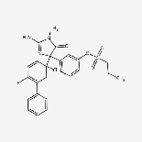 CCCS(=O)(=O)Oc1cccc(C2(C3(Cl)C=CC(F)=C(c4ccccc4)C3)N=C(N)N(C)C2=O)c1